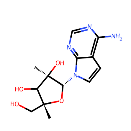 C[C@]1(CO)O[C@@H](n2ccc3c(N)ncnc32)[C@](C)(O)C1O